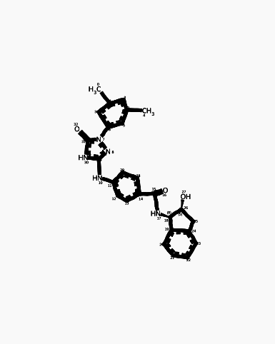 Cc1cc(C)cc(-n2nc(Nc3ccc(C(=O)N[C@@H]4c5ccccc5C[C@@H]4O)cc3)[nH]c2=O)c1